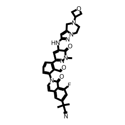 Cn1nc(-c2cccc(-n3ccc4cc(C(C)(C)C#N)cc(F)c4c3=O)c2C=O)cc(Nc2cc3n(n2)CCN(C2COC2)C3)c1=O